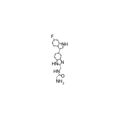 NCC(=O)NCc1nc2cc(-c3c[nH]c4cc(F)ccc34)ccc2[nH]1